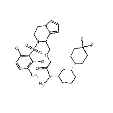 Cc1ccc(Cl)c(S(=O)(=O)N2CCn3cccc3C2COCC(=O)N(C)[C@H]2CCC[C@@H](N3CCC(F)(F)CC3)C2)c1Cl